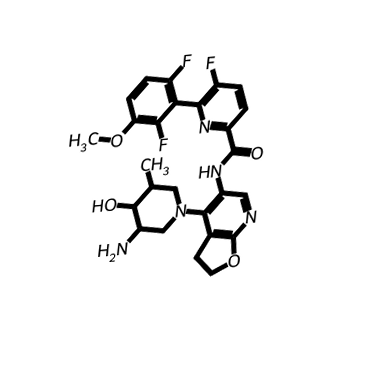 COc1ccc(F)c(-c2nc(C(=O)Nc3cnc4c(c3N3CC(C)C(O)C(N)C3)CCO4)ccc2F)c1F